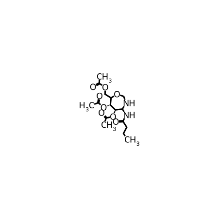 CCCC(=O)NC1NCOC(COC(C)=O)[C@@H](OC(C)=O)[C@@H]1OC(C)=O